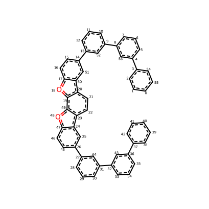 c1ccc(-c2cccc(-c3cccc(-c4ccc5oc6c(ccc7c8cc(-c9cccc(-c%10cccc(-c%11ccccc%11)c%10)c9)ccc8oc76)c5c4)c3)c2)cc1